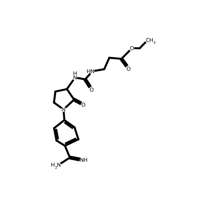 CCOC(=O)CCNC(=O)NC1CCN(c2ccc(C(=N)N)cc2)C1=O